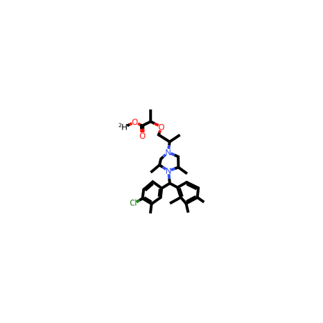 [2H]OC(=O)C(C)OCC(C)N1CC(C)N(C(c2ccc(Cl)c(C)c2)c2ccc(C)c(C)c2C)C(C)C1